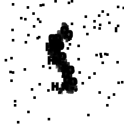 CCOC(=O)C(C)(C)COS(=O)(=O)ON1C(=O)N2C[C@H]1CC[C@H]2C(=O)NC1CCN(C(=O)OCOC(=O)[C@@H](N)C(C)C)CC1